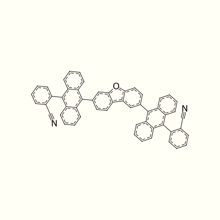 N#Cc1ccccc1-c1c2ccccc2c(-c2ccc3c(c2)oc2ccc(-c4c5ccccc5c(-c5ccccc5C#N)c5ccccc45)cc23)c2ccccc12